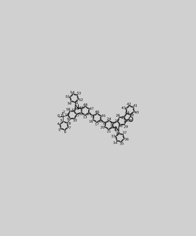 CC1(C)c2ccccc2-c2cc3c4cc(-c5ccc(-c6ccc7c(c6)c6cc8c(cc6n7-c6ccccc6)oc6ccccc68)cc5)ccc4n(-c4ccccc4)c3cc21